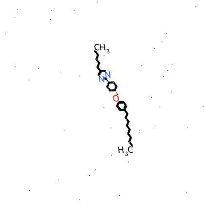 CCCCCCCCCCc1ccc(OC[C@H]2CC[C@H](c3ncc(CCCCCC)cn3)CC2)cc1